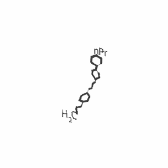 C=CCC[C@H]1CC[C@H](CCCC[C@H]2CC[C@H]([C@H]3CC[C@H](CCC)CC3)CC2)CC1